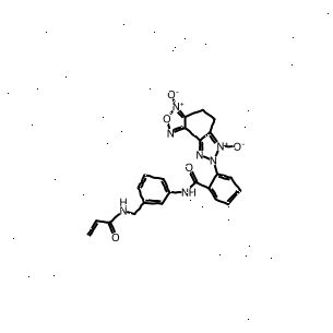 C=CC(=O)NCc1cccc(NC(=O)c2ccccc2-n2nc3c([n+]2[O-])CCc2c-3no[n+]2[O-])c1